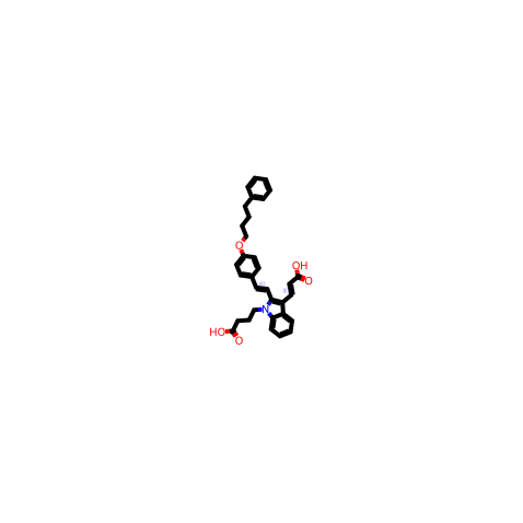 O=C(O)/C=C/c1c(/C=C/c2ccc(OCCCCc3ccccc3)cc2)n(CCCC(=O)O)c2ccccc12